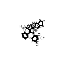 CC1(C)Oc2ccccc2C2=C1C(C(N)=O)(N1CC3CCCC3C1)NN2c1ccc(Cl)cc1Cl.Cl